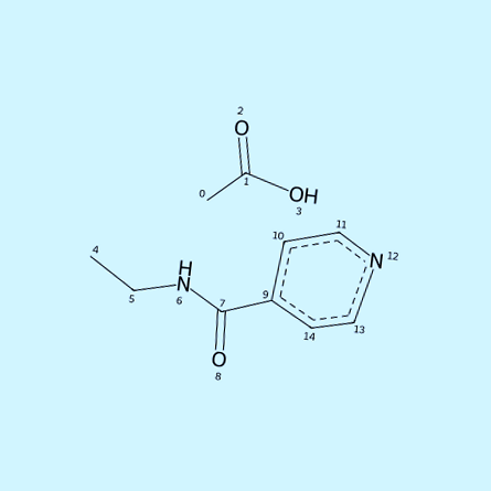 CC(=O)O.CCNC(=O)c1ccncc1